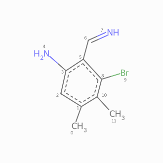 Cc1cc(N)c(C=N)c(Br)c1C